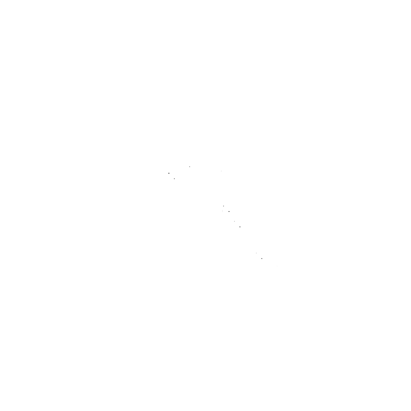 COCn1cc(-c2nnc(CN)cc2C)c(C(F)(F)F)n1